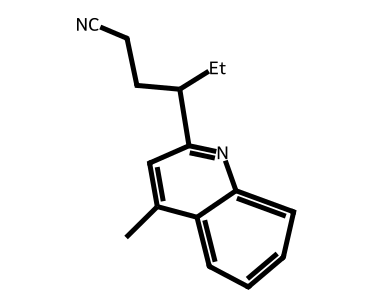 CCC(CCC#N)c1cc(C)c2ccccc2n1